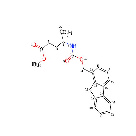 CC(C)(C)OC(=O)CCC(NC(=O)OCc1cccc2c1Cc1ccccc1-2)C(=O)O